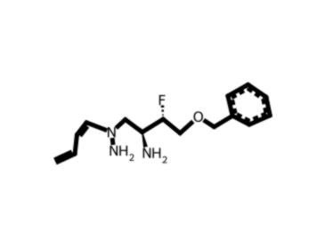 C=C/C=C\N(N)C[C@H](N)[C@H](F)COCc1ccccc1